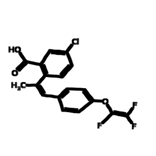 CC(=Cc1ccc(OC(F)=C(F)F)cc1)c1ccc(Cl)cc1C(=O)O